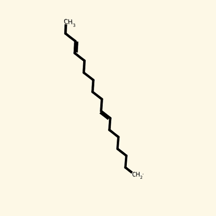 [CH2]CCCCCC=CCCCCCC=CCC